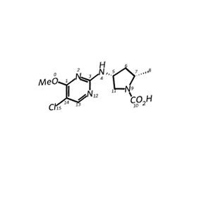 COc1nc(N[C@@H]2C[C@H](C)N(C(=O)O)C2)ncc1Cl